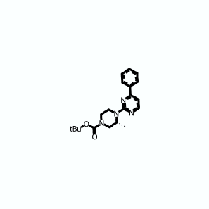 C[C@@H]1CN(C(=O)OC(C)(C)C)CCN1c1nccc(-c2ccccc2)n1